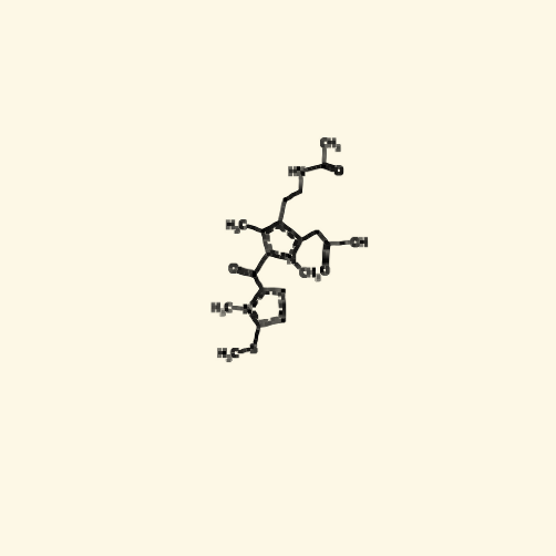 CSc1ccc(C(=O)c2c(C)c(CCNC(C)=O)c(CC(=O)O)n2C)n1C